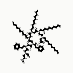 CCCCCCCCCCN(CC(N)=O)C(=O)CN(CCCCCCCCCC)C(=O)CN(CCCCCCCCCC)C(=O)CN(CCCCCCCCCC)C(=O)CN(CCc1ccccc1)C(=O)CN(CCc1ccccc1)C(=O)CN(C=O)CCNC